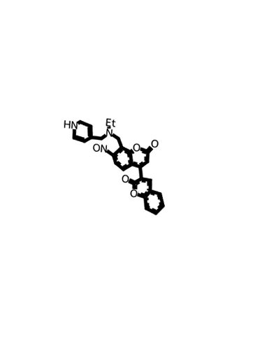 CCN(CC1=CCNC=C1)Cc1c(N=O)ccc2c(-c3cc4ccccc4oc3=O)cc(=O)oc12